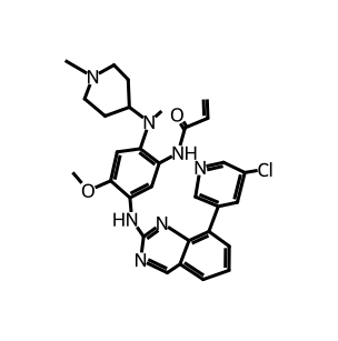 C=CC(=O)Nc1cc(Nc2ncc3cccc(-c4cncc(Cl)c4)c3n2)c(OC)cc1N(C)C1CCN(C)CC1